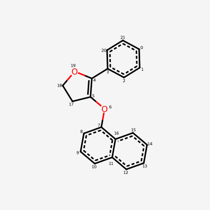 c1ccc(C2=C(Oc3cccc4ccccc34)CCO2)cc1